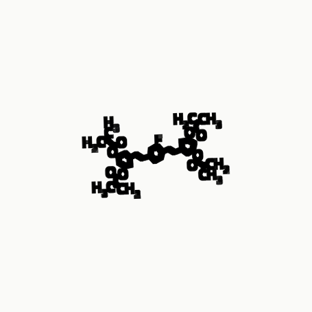 C=C(C)C(=O)Oc1cc(/C=C/c2ccc(/C=C/c3cc(OC(=O)C(=C)C)cc(OC(=O)C(=C)C)c3)c(F)c2)cc(OC(=O)C(=C)C)c1